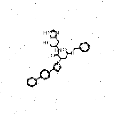 O=C(CC(C(=O)NC(CO)Cc1c[nH]cn1)n1ccc(-c2ccc(-c3ccccc3)cc2)c1)OCc1ccccc1